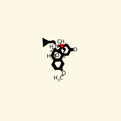 COc1ccc2c(c1)[C@]13CCN(CC4CC4)[C@H](C2)C1(OC)[C@H](C)CC(=O)C3